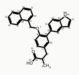 CC(Cc1ccc(OCc2cccc3ccccc23)c(-c2ccc3[nH]ccc3c2)c1)C(=O)O